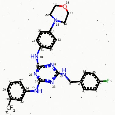 Fc1ccc(CNc2nc(Nc3ccc(N4CCOCC4)cc3)nc(Nc3cccc(C(F)(F)F)c3)n2)cc1